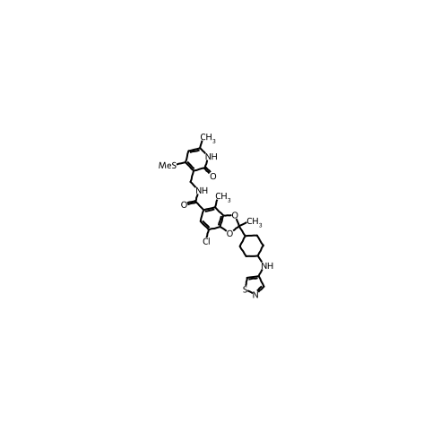 CSc1cc(C)[nH]c(=O)c1CNC(=O)c1cc(Cl)c2c(c1C)OC(C)(C1CCC(Nc3cnsc3)CC1)O2